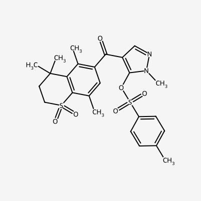 Cc1ccc(S(=O)(=O)Oc2c(C(=O)c3cc(C)c4c(c3C)C(C)(C)CCS4(=O)=O)cnn2C)cc1